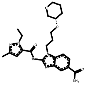 CCn1nc(C)cc1C(=O)Nc1nc2cc(C(N)=O)ccc2n1CCCO[C@H]1CCCOC1